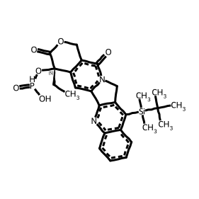 CC[C@@]1(O[PH](=O)O)C(=O)OCc2c1cc1n(c2=O)Cc2c-1nc1ccccc1c2[Si](C)(C)C(C)(C)C